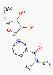 CC(=O)OC[C@H]1O[C@@H]([n+]2cccc(C(=O)N(C)C)c2)C(O)C1O